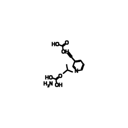 C#Cc1cccnc1.CC(C)C.N.O=C(O)O.O=C(O)O